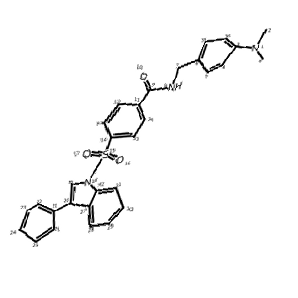 CN(C)c1ccc(CNC(=O)c2ccc(S(=O)(=O)n3cc(-c4ccccc4)c4ccccc43)cc2)cc1